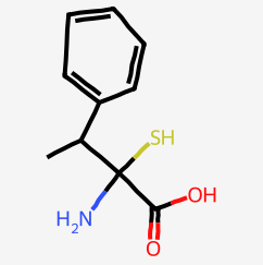 CC(c1ccccc1)C(N)(S)C(=O)O